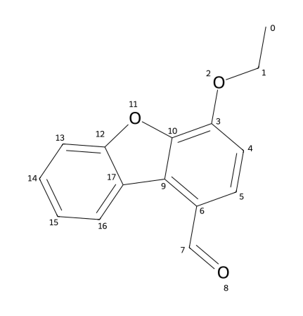 CCOc1ccc(C=O)c2c1oc1ccccc12